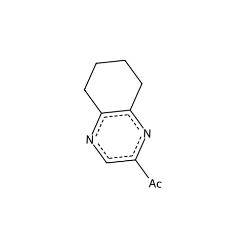 CC(=O)c1cnc2c(n1)CCCC2